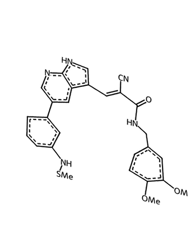 COc1ccc(CNC(=O)/C(C#N)=C/c2c[nH]c3ncc(-c4cccc(NSC)c4)cc23)cc1OC